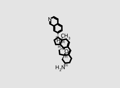 C[C@]12CC=C3C=C4CC[C@H](N)C[C@]45CC[C@]3(O5)[C@@H]1CC[C@@H]2c1ccc2ccncc2c1